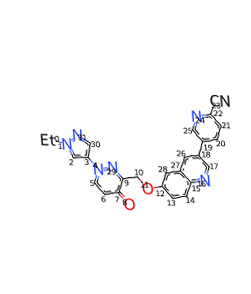 CCn1cc(-n2ccc(=O)c(COc3ccc4ncc(-c5ccc(C#N)nc5)cc4c3)n2)cn1